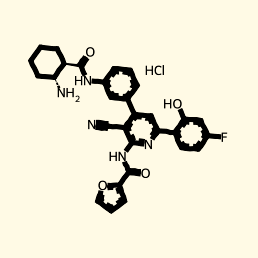 Cl.N#Cc1c(-c2cccc(NC(=O)[C@@H]3CCCC[C@H]3N)c2)cc(-c2ccc(F)cc2O)nc1NC(=O)c1ccco1